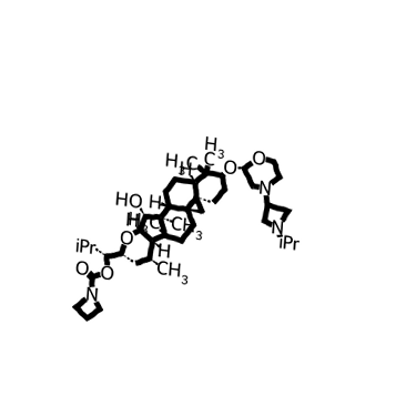 CC(C)[C@@H](OC(=O)N1CCC1)[C@H]1C[C@@H](C)[C@H]2[C@H](O1)[C@H](O)[C@@]1(C)[C@@H]3CC[C@H]4C(C)(C)C(O[C@H]5CN(C6CN(C(C)C)C6)CCO5)CC[C@@]45C[C@@]35CC[C@]21C